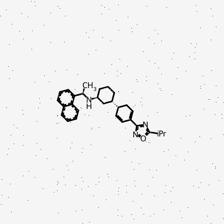 CC(C)c1nc(C2=CCC([C@H]3CCC[C@H](N[C@H](C)c4cccc5ccccc45)C3)C=C2)no1